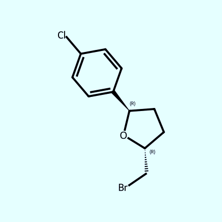 Clc1ccc([C@H]2CC[C@H](CBr)O2)cc1